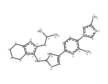 Cc1cn(-c2ccc(C3=CSC(Nc4c5c(nn4CC(C)O)CCCC5)N3)nc2C)cn1